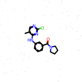 Cc1cnc(Cl)nc1Nc1cccc(C(=O)N2CCCC2)c1